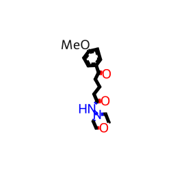 COc1ccc(C(=O)CCCC(=O)NN2CCOCC2)cc1